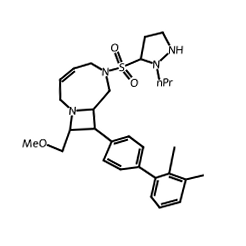 CCCN1NCCC1S(=O)(=O)N1C/C=C\CN2C(COC)C(c3ccc(-c4cccc(C)c4C)cc3)C2C1